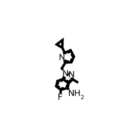 Cc1nn(Cc2cccc(C3CC3)n2)c2ccc(F)c(N)c12